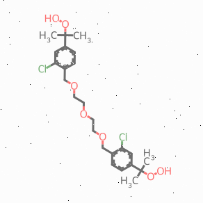 CC(C)(OO)c1ccc(COCCOCCOCc2ccc(C(C)(C)OO)cc2Cl)c(Cl)c1